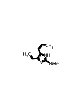 C=Cc1nc(NC)[nH]c1/C=C\C